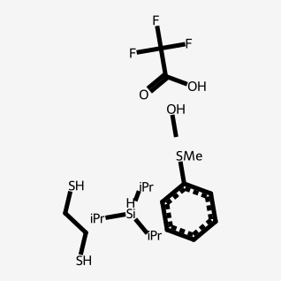 CC(C)[SiH](C(C)C)C(C)C.CO.CSc1ccccc1.O=C(O)C(F)(F)F.SCCS